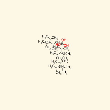 CC(C)[SiH](C(C)C)C(C)C.CC(C)[SiH](C(C)C)C(C)C.CC(C)[SiH](C(C)C)C(C)C.OB(O)O